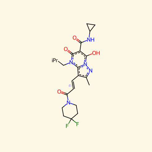 Cc1nn2c(O)c(C(=O)NC3CC3)c(=O)n(CC(C)C)c2c1/C=C/C(=O)N1CCC(F)(F)CC1